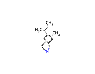 CCC(C)c1cc2ccncc2cc1C